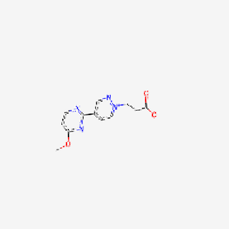 COc1ccnc(-c2cc[n+](CCC(=O)[O-])nc2)n1